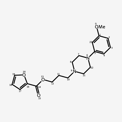 COc1cccc(N2CCN(CCCOC(=O)c3ccco3)CC2)c1